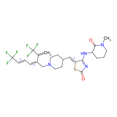 C=C(/C(=C\C=C\C(F)(F)F)CN1CCC(/C=C2\SC(=O)N=C2NC2CCCN(C)C2=O)CC1)C(F)(F)F